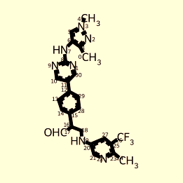 Cc1nn(C)cc1Nc1ncc(-c2ccc(C(C=O)CNc3cnc(C)c(C(F)(F)F)c3)cc2)cn1